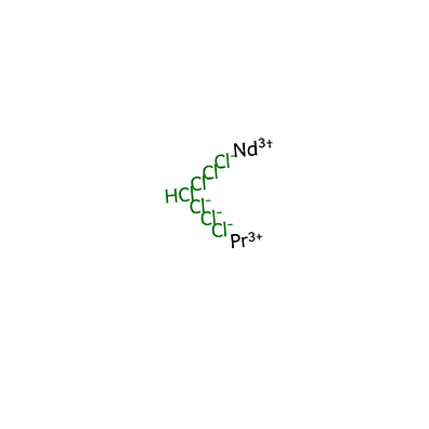 Cl.[Cl-].[Cl-].[Cl-].[Cl-].[Cl-].[Cl-].[Nd+3].[Pr+3]